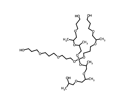 CC(O)COCC(C)OCC(C)O[Si](OCCCOCCCOCCCO)(OCCCOC(C)COCCCO)OCC(C)OC(C)COCCCO